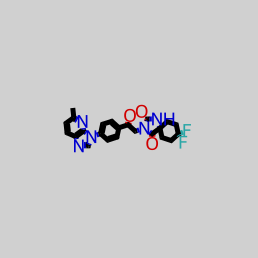 Cc1ccc2ncn(-c3ccc(C(=O)CN4C(=O)NC5(CCC(F)(F)CC5)C4=O)cc3)c2n1